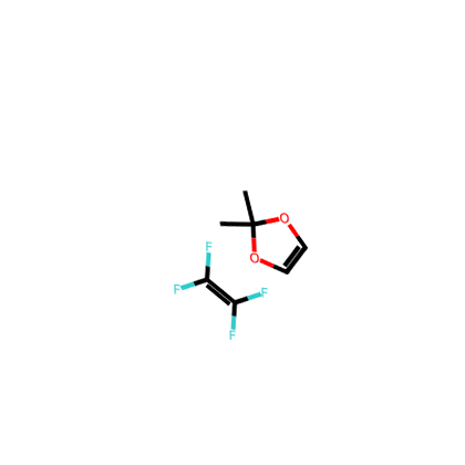 CC1(C)OC=CO1.FC(F)=C(F)F